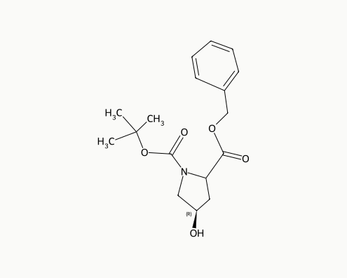 CC(C)(C)OC(=O)N1C[C@H](O)CC1C(=O)OCc1ccccc1